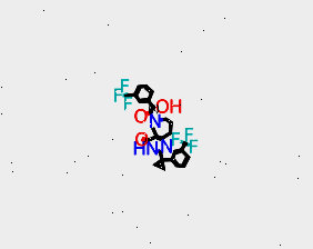 O=C([C@H](O)c1cccc(C(F)(F)F)c1)N1CCCc2nc(C3(c4cccc(C(F)(F)F)c4)CC3)[nH]c(=O)c2C1